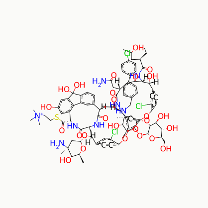 CC[C@H](CC(C)O)C(=O)N[C@H]1C(=O)C[C@@H](CC(N)=O)C(=O)N[C@H]2C(=O)C[C@H]3C(=O)N[C@H](C(=O)N[C@H](C(=O)SCC[N+](C)(C)C)c4cc(O)cc5c4-c4cc3ccc4C5(O)O)[C@H](O[C@H]3C[C@](C)(N)[C@@H](O)[C@H](C)O3)c3ccc(c(Cl)c3)Oc3cc2cc(c3O[C@@H]2O[C@H](CO)[C@@H](O)[C@H](O)[C@H]2O[C@H]2C[C@](C)(NCc3ccc(-c4ccc(Cl)cc4)cc3)[C@@H](O)[C@H](C)O2)Oc2ccc(cc2Cl)[C@H]1O